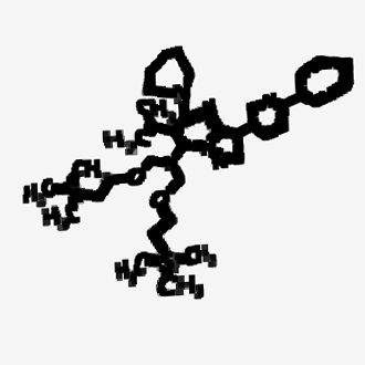 C=C(C)c1c(N2CCCCC2)nc2c(-c3ccc(-c4ccccc4)nc3)cnn2c1N(COCC[Si](C)(C)C)COCC[Si](C)(C)C